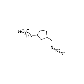 [N-]=[N+]=NCC1CCC(NC(=O)O)C1